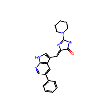 O=C1NC(N2CCCCC2)=NC1=Cc1c[nH]c2ncc(-c3ccccc3)cc12